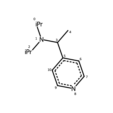 CC(C)N(C(C)C)C(C)c1ccncc1